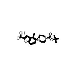 Cc1c(N2CCN(C(=O)OC(C)(C)C)CC2)ccc2oc(C(=O)O)cc12